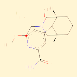 COC[C@H](C)N1C[C@H]2CCC[C@@H](C1)[C@]2(OC)c1ccnc(C(N)=O)c1.Cl